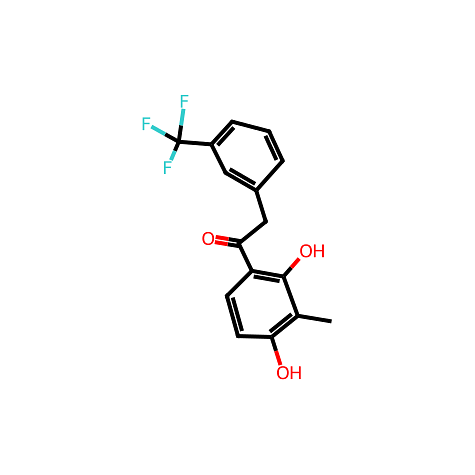 Cc1c(O)ccc(C(=O)Cc2cccc(C(F)(F)F)c2)c1O